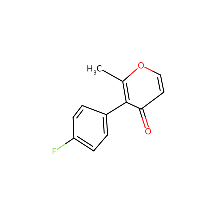 Cc1occc(=O)c1-c1ccc(F)cc1